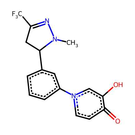 CN1N=C(C(F)(F)F)CC1c1cccc(-n2ccc(=O)c(O)c2)c1